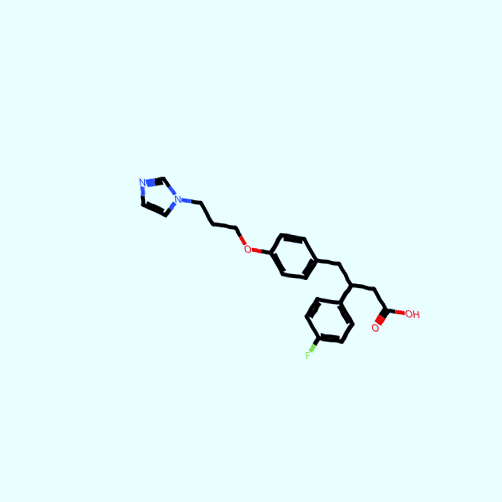 O=C(O)CC(Cc1ccc(OCCCn2ccnc2)cc1)c1ccc(F)cc1